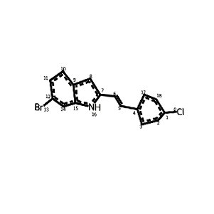 Clc1ccc(C=Cc2cc3ccc(Br)cc3[nH]2)cc1